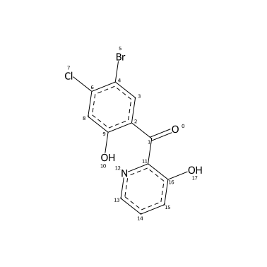 O=C(c1cc(Br)c(Cl)cc1O)c1ncccc1O